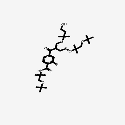 CC(C)(COC(C)(C)C)NC(=O)c1ccc(C(=O)C(CSOC(C)(C)COC(C)(C)C)CSC(C)(C)CCO)cc1F